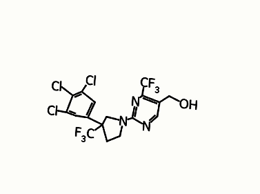 OCc1cnc(N2CCC(c3cc(Cl)c(Cl)c(Cl)c3)(C(F)(F)F)C2)nc1C(F)(F)F